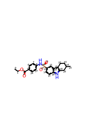 CCOC(=O)c1ccc(NS(=O)(=O)c2ccc3[nH]c4c(c3c2)CCC(C)C4)cc1